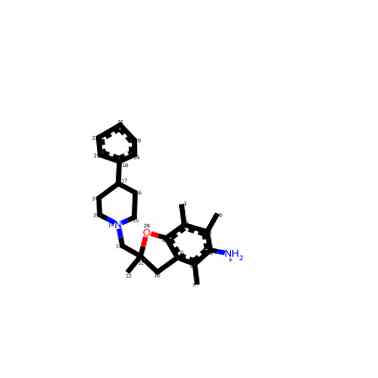 Cc1c(C)c2c(c(C)c1N)CC(C)(CN1CCC(c3ccccc3)CC1)O2